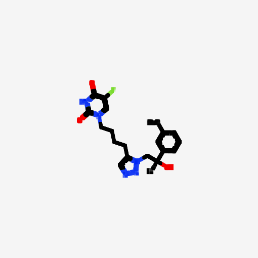 CC[C@@](O)(Cn1nncc1CCCCn1cc(F)c(=O)[nH]c1=O)c1cccc(OCC(C)C)c1